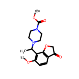 CCOc1ccc2c(c1C(C)N1CCN(C(=O)OC(C)(C)C)CC1)OCC2=O